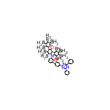 Bc1c(B)c(B)c2c(oc3c2c(B)c(B)c2c3c3c(B)c(B)c(B)c(B)c3n2-c2cccc3c2oc2cc(-c4nc(-c5ccccc5)nc(-c5ccccc5)n4)ccc23)c1B